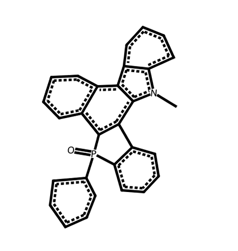 Cn1c2ccccc2c2c3ccccc3c3c(c21)-c1ccccc1P3(=O)c1ccccc1